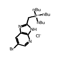 CCCC[P+](CCCC)(CCCC)Cc1nc2cc(Br)cnc2[nH]1.[Cl-]